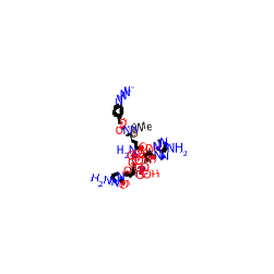 CSS[C@@H](CC[C@H](N)C(=O)O[C@H]1[C@@H](O)[C@H](n2cnc3c(N)ncnc32)O[C@@H]1COP(=O)(O)O[C@H]1C[C@H](n2ccc(N)nc2=O)O[C@@H]1COP(=O)(O)O)CNC(=O)OCc1ccc(N=[N+]=[N-])cc1